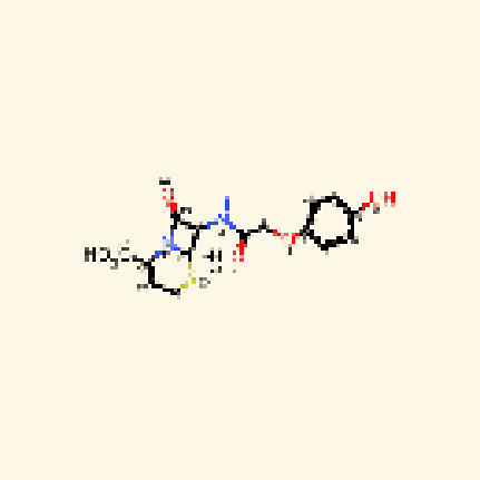 O=C(COc1ccc(O)cc1)NC1C(=O)N2C(C(=O)O)=CCS[C@H]12